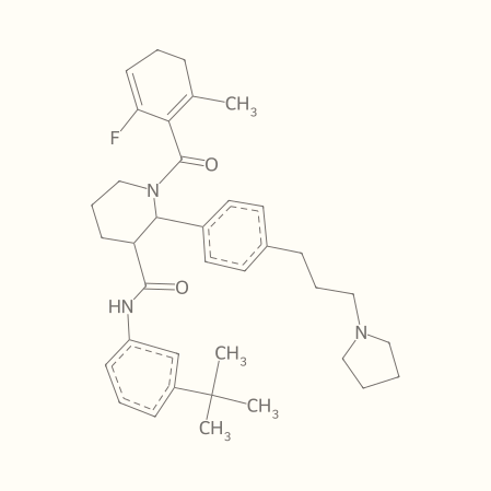 CC1=C(C(=O)N2CCCC(C(=O)Nc3cccc(C(C)(C)C)c3)C2c2ccc(CCCN3CCCC3)cc2)C(F)=CCC1